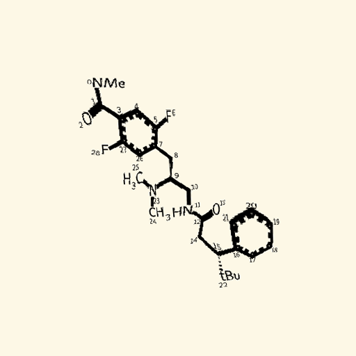 CNC(=O)c1cc(F)c(C[C@@H](CNC(=O)C[C@H](c2ccccc2)C(C)(C)C)N(C)C)cc1F